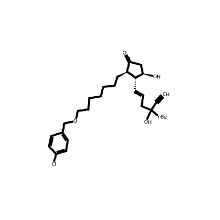 C#CC(O)(CC=C[C@H]1[C@H](O)CC(=O)[C@@H]1CCCCCCCOCc1ccc(Cl)cc1)CCCC